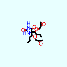 CCCC(OCC1CO1)C1(C(CCC)OCC2CO2)NC(=O)NC1=O